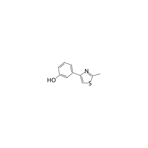 Cc1nc(-c2cccc(O)c2)cs1